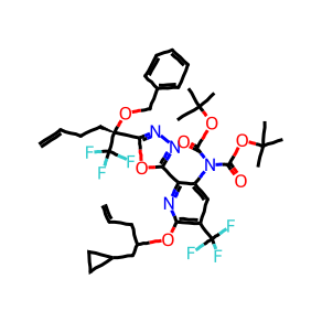 C=CCC[C@@](OCc1ccccc1)(c1nnc(-c2nc(OC(CC=C)CC3CC3)c(C(F)(F)F)cc2N(C(=O)OC(C)(C)C)C(=O)OC(C)(C)C)o1)C(F)(F)F